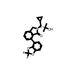 CC(C)(O)[C@@H](C1CC1)N1Cc2cccc(-c3cccc4c3OC(F)(F)O4)c2C1=O